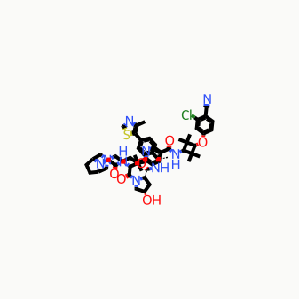 Cc1ncsc1-c1ccc([C@H](C)NC(=O)[C@@H]2C[C@@H](O)CN2C(=O)C(NC(=O)CN2C3CCC2CN(CCCCc2ccc(C(=O)NC4C(C)(C)C(Oc5ccc(C#N)c(Cl)c5)C4(C)C)cn2)C3)C(C)(C)C)cc1